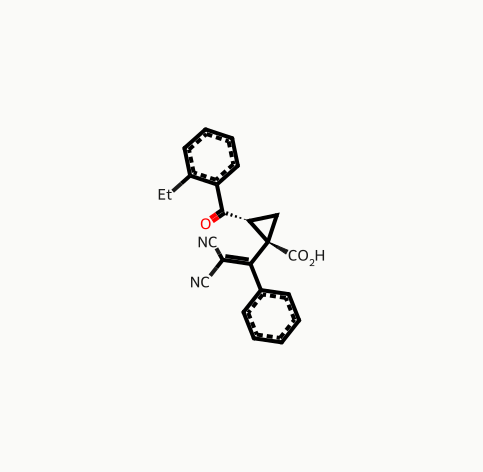 CCc1ccccc1C(=O)[C@@H]1C[C@]1(C(=O)O)C(=C(C#N)C#N)c1ccccc1